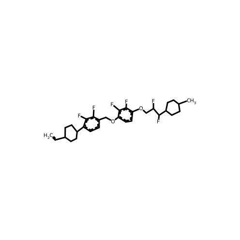 C=CC1CCC(c2ccc(COc3ccc(OCC(F)C(F)C4CCC(C)CC4)c(F)c3F)c(F)c2F)CC1